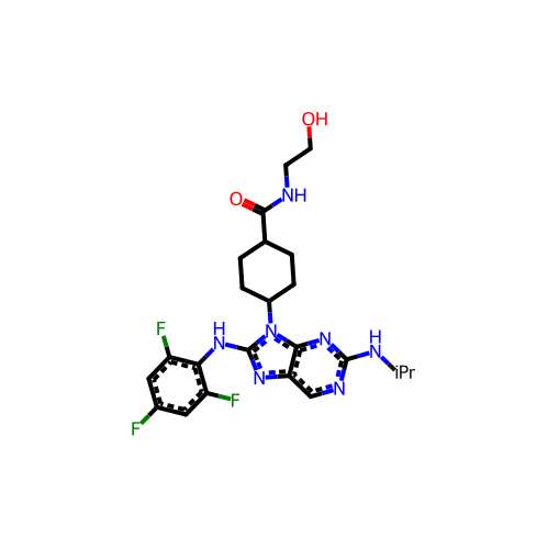 CC(C)Nc1ncc2nc(Nc3c(F)cc(F)cc3F)n(C3CCC(C(=O)NCCO)CC3)c2n1